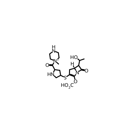 CC(O)C1C(=O)N2C(OC(=O)O)=C(SC3CNC(C(=O)[N+]4(C)CCNCC4)C3)C[C@H]12